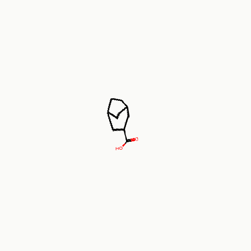 O=C(O)C1CC2CCC(C2)C1